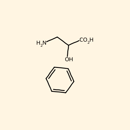 NCC(O)C(=O)O.c1ccccc1